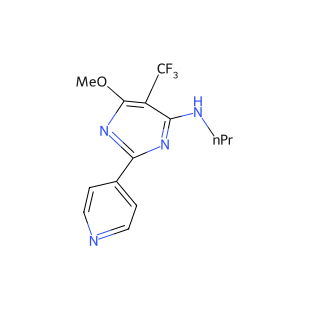 CCCNc1nc(-c2ccncc2)nc(OC)c1C(F)(F)F